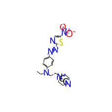 CCN(CC[N+]12CCN(CC1)CC2)c1ccc(N=Nc2ncc([N+](=O)[O-])s2)cc1